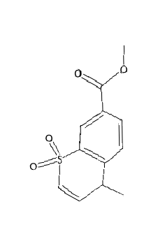 COC(=O)c1ccc2c(c1)S(=O)(=O)C=CC2C